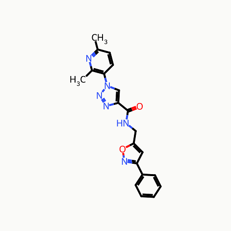 Cc1ccc(-n2cc(C(=O)NCc3cc(-c4ccccc4)no3)nn2)c(C)n1